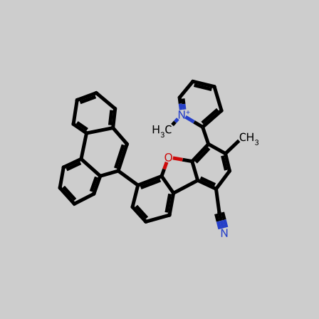 Cc1cc(C#N)c2c(oc3c(-c4cc5ccccc5c5ccccc45)cccc32)c1-c1cccc[n+]1C